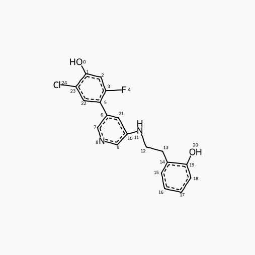 Oc1cc(F)c(-c2cncc(NCCc3ccccc3O)c2)cc1Cl